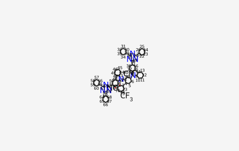 N#Cc1cc(-c2ccc(-n3c4ccccc4c4cc(-c5nc(-c6ccccc6)nc(-c6ccccc6)n5)ccc43)c(C#N)c2-n2c3ccccc3c3cc(-c4nc(-c5ccccc5)nc(-c5ccccc5)n4)ccc32)cc(C(F)(F)F)c1